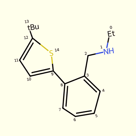 CCNCc1ccccc1-c1ccc(C(C)(C)C)s1